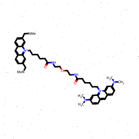 CNCc1ccc2cc3ccc(CNC)cc3[n+](CCCCCC(=O)NCCOCCNC(=O)CCCCC[n+]3c4cc(N(C)C)ccc4cc4ccc(N(C)C)cc43)c2c1